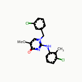 COc1cn(Cc2cccc(Cl)c2)c(Nc2cccc(Cl)c2C)nc1=O